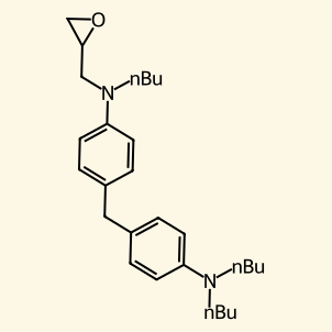 CCCCN(CCCC)c1ccc(Cc2ccc(N(CCCC)CC3CO3)cc2)cc1